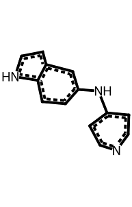 c1cc(Nc2ccc3[nH]ccc3c2)ccn1